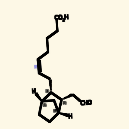 O=CC[C@@H]1[C@@H]2CC[C@@H](C2)[C@@H]1C/C=C\CCCC(=O)O